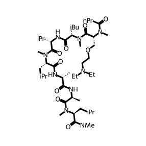 CCCC(=O)N(C)[C@H](COCCN(CC)CC)C(=O)N(C)[C@H](C(=O)N[C@H](C(=O)N(C)[C@@H](CC(C)C)C(=O)N[C@H](C)C(=O)N[C@@H](C)C(=O)N(C)[C@@H](CC(C)C)C(=O)NC)C(C)C)C(C)CC